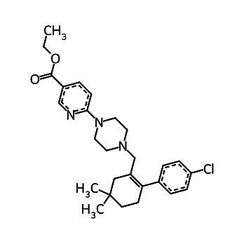 CCOC(=O)c1ccc(N2CCN(CC3=C(c4ccc(Cl)cc4)CCC(C)(C)C3)CC2)nc1